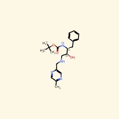 Cc1cnc(CNC[C@H](O)[C@H](Cc2ccccc2)NC(=O)OC(C)(C)C)cn1